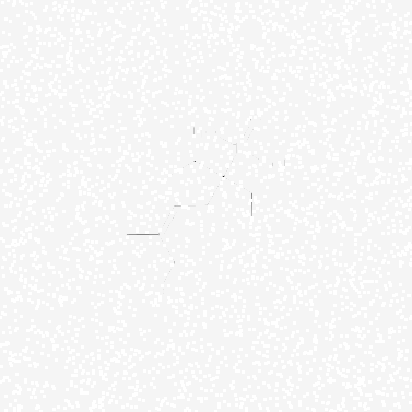 CCC(CC)(CC=C(C)CO)P(=O)(O)O